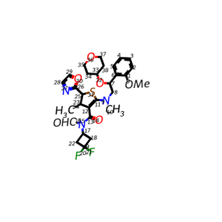 COc1ccccc1C(CN(C)C1=C(C(=O)N(C=O)C2CC(F)(F)C2)C(C)C(c2ncco2)S1)OC1CCOCC1